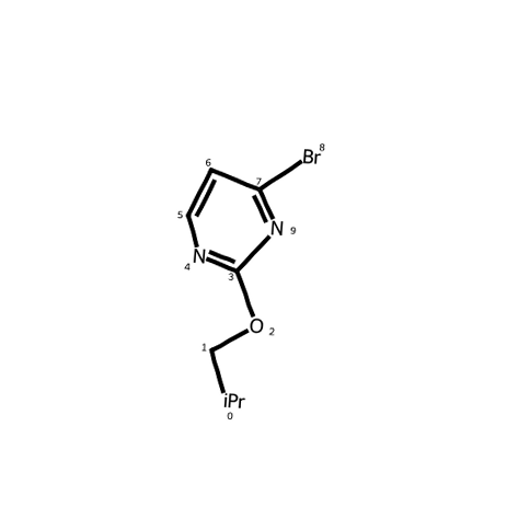 CC(C)COc1nccc(Br)n1